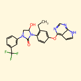 CCc1cc(Oc2ncnc3[nH]ccc23)ccc1N1C(=O)N(c2cccc(C(F)(F)F)c2)CC1O